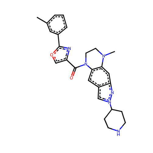 Cc1cccc(-c2nc(C(=O)N3CCN(C)c4cc5nn(C6CCNCC6)cc5cc43)co2)c1